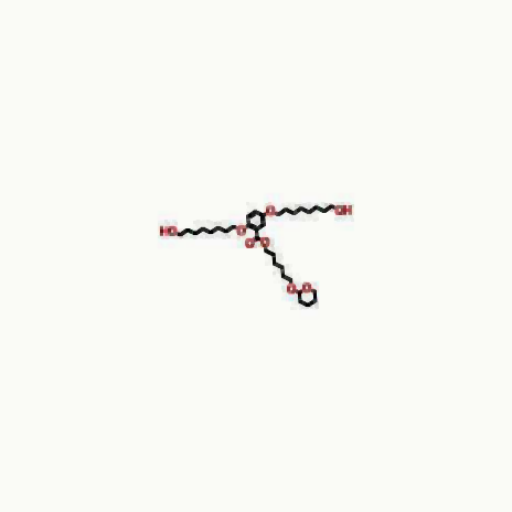 O=C(OCCCCCCOC1CCCCO1)c1cc(OCCCCCCCCO)ccc1OCCCCCCCCO